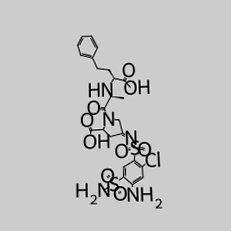 C[C@H](N[C@@H](CCc1ccccc1)C(=O)O)C(=O)N1C/C(=N/S(=O)(=O)c2cc(S(N)(=O)=O)c(N)cc2Cl)CC1C(=O)O